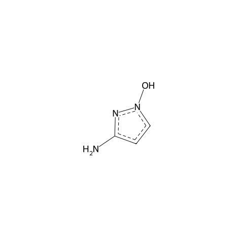 Nc1ccn(O)n1